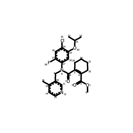 COC(=O)C1=C(C(=O)N(Cc2cnccc2C)c2cc(OC(C)C)c(Cl)cc2F)CCCC1